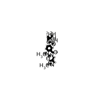 [2H]C([2H])([2H])C1(NS(=O)(=O)c2ccc3c(c2)c(=O)n(Cc2cnn(C)c2)c(=O)n3C)CC1